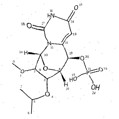 COC1C(OC(C)C)[C@@H]2O[C@H]1n1c(cc(=O)[nH]c1=O)[C@H]2OP(=O)(O)O